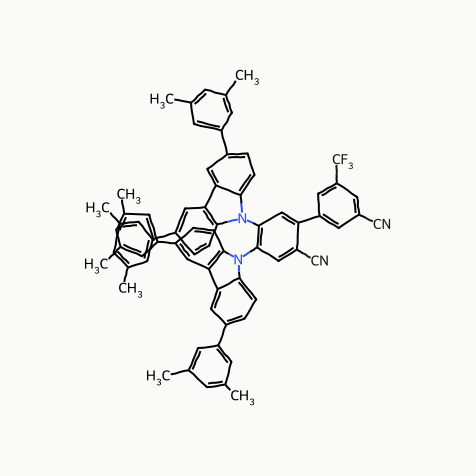 Cc1cc(C)cc(-c2ccc3c(c2)c2cc(-c4cc(C)cc(C)c4)ccc2n3-c2cc(C#N)c(-c3cc(C#N)cc(C(F)(F)F)c3)cc2-n2c3ccc(-c4cc(C)cc(C)c4)cc3c3cc(-c4cc(C)cc(C)c4)ccc32)c1